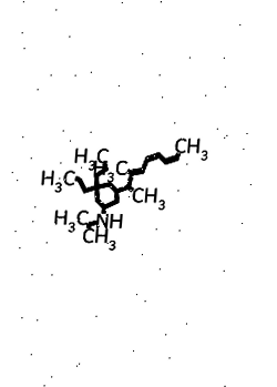 C\C=C/C=C\C=C(/C)C(C)C1CC(NC(C)C)CC(CCC)(CCC)C1